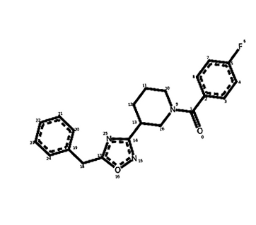 O=C(c1ccc(F)cc1)N1CCCC(c2noc(Cc3ccccc3)n2)C1